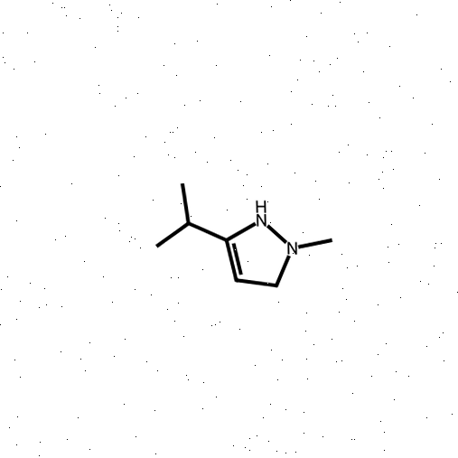 CC(C)C1=CCN(C)N1